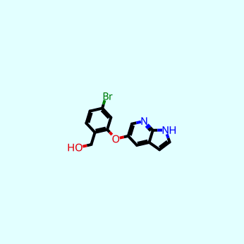 OCc1ccc(Br)cc1Oc1cnc2[nH]ccc2c1